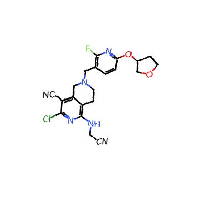 N#CCNc1nc(Cl)c(C#N)c2c1CCN(Cc1ccc(OC3CCOC3)nc1F)C2